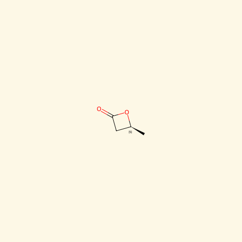 C[C@H]1CC(=O)O1